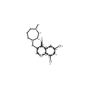 CN1CCCN(Cc2coc3c(Cl)cc(Cl)cc3c2=O)CC1